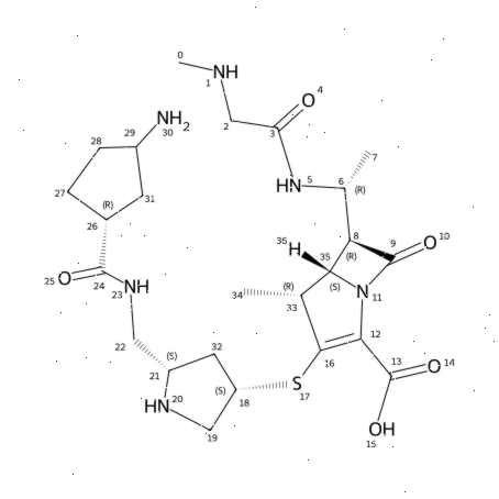 CNCC(=O)N[C@H](C)[C@H]1C(=O)N2C(C(=O)O)=C(S[C@@H]3CN[C@H](CNC(=O)[C@@H]4CCC(N)C4)C3)[C@H](C)[C@H]12